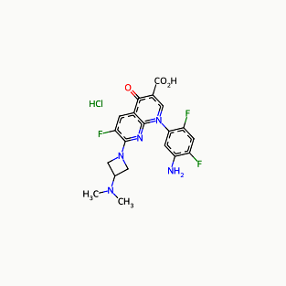 CN(C)C1CN(c2nc3c(cc2F)c(=O)c(C(=O)O)cn3-c2cc(N)c(F)cc2F)C1.Cl